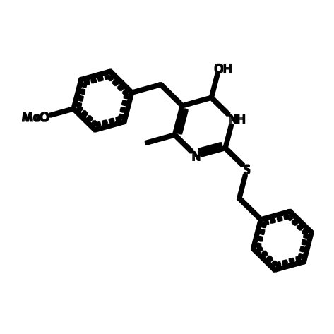 COc1ccc(CC2=C(C)N=C(SCc3ccccc3)NC2O)cc1